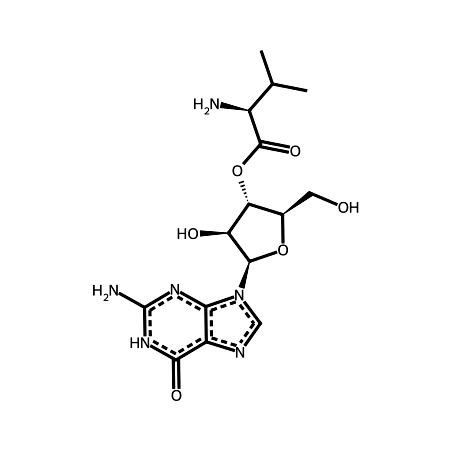 CC(C)[C@H](N)C(=O)O[C@H]1[C@H](O)[C@H](n2cnc3c(=O)[nH]c(N)nc32)O[C@@H]1CO